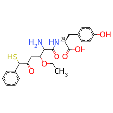 CCOC(CC(=O)C(S)c1ccccc1)C(N)C(=O)N[C@@H](Cc1ccc(O)cc1)C(=O)O